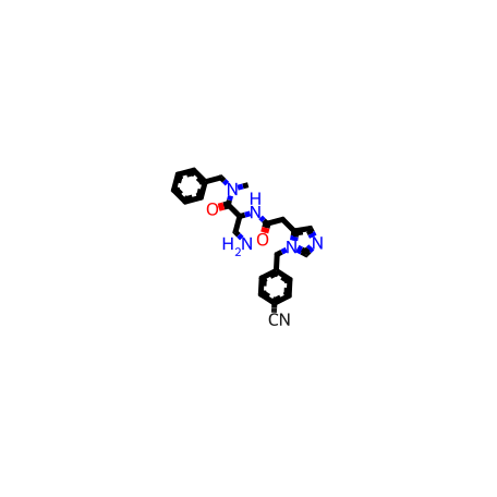 CN(Cc1ccccc1)C(=O)C(CN)NC(=O)Cc1cncn1Cc1ccc(C#N)cc1